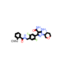 COc1ccccc1C(=O)NCc1cc(F)c(-c2nn(C3CCCOC3)c(N)c2C(N)=O)cc1F